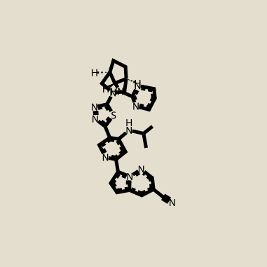 CC(C)Nc1cc(-c2ccc3cc(C#N)cnn23)ncc1-c1nnc(N2C[C@H]3CC[C@@H](C2)[C@@H]3Nc2ncccn2)s1